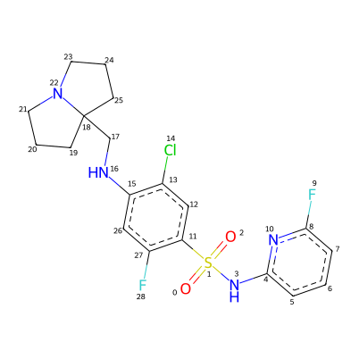 O=S(=O)(Nc1cccc(F)n1)c1cc(Cl)c(NCC23CCCN2CCC3)cc1F